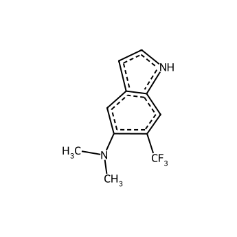 CN(C)c1cc2cc[nH]c2cc1C(F)(F)F